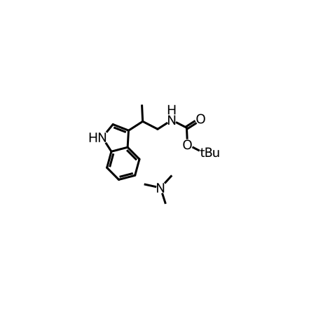 CC(CNC(=O)OC(C)(C)C)c1c[nH]c2ccccc12.CN(C)C